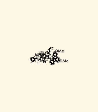 COc1ccc(C(OC[C@H]2O[C@@H](n3ccc(NC(=O)c4ccccc4)nc3=O)[C@@H](CC(C)(C)[Si](C)(C)O)C2OC(=O)CCC(C)=O)(c2ccccc2)c2ccc(OC)cc2)cc1